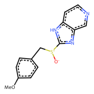 COc1ccc(C[S+]([O-])c2nc3cnccc3[nH]2)cc1